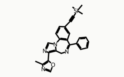 Cc1ncoc1-c1ncn2c1CN=C(c1ccccc1)c1cc(C#C[Si](C)(C)C)ccc1-2